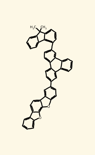 CC1(C)c2ccccc2-c2c(-c3ccc4c5ccc(-c6ccc7oc8c(ccc9c%10ccccc%10oc98)c7c6)cc5c5ccccc5c4c3)cccc21